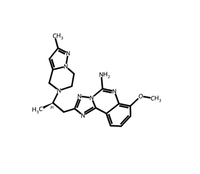 COc1cccc2c1nc(N)n1nc(C[C@@H](C)N3CCn4nc(C)cc4C3)nc21